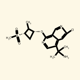 CC1[C@H](Oc2ncc(C(C)(C)N)c3cc(Cl)ncc23)C[C@@H]1S(C)(=O)=O